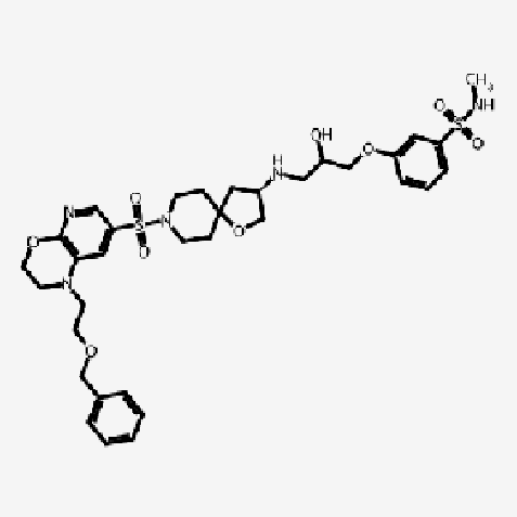 CNS(=O)(=O)c1cccc(OCC(O)CN[C@H]2COC3(CCN(S(=O)(=O)c4cnc5c(c4)N(CCOCc4ccccc4)CCO5)CC3)C2)c1